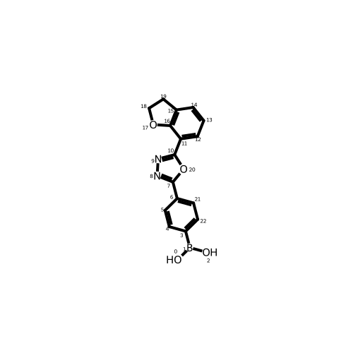 OB(O)c1ccc(-c2nnc(-c3cccc4c3OCC4)o2)cc1